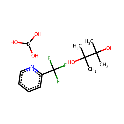 CC(C)(O)C(C)(C)O.FC(F)(F)c1ccccn1.OB(O)O